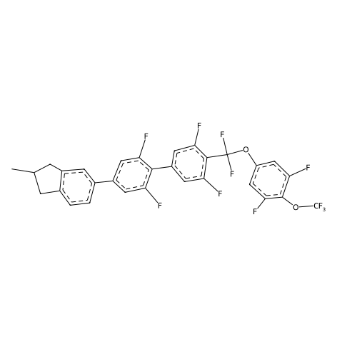 CC1Cc2ccc(-c3cc(F)c(-c4cc(F)c(C(F)(F)Oc5cc(F)c(OC(F)(F)F)c(F)c5)c(F)c4)c(F)c3)cc2C1